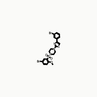 COc1ccc(Br)cc1S(=O)(=O)N1CCN(c2nc(-c3cccc(Br)c3)cs2)CC1